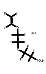 O=S(=O)(O)C(F)(F)C(F)(F)OC(F)(F)C(F)(F)OC(F)=C(F)F.[KH]